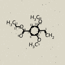 C=Cc1c(OC)cc(C(=O)OCC)cc1OC